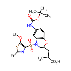 CCOc1sc(CC)nc1S(=O)(=O)N1CC(CC(C)C(=O)O)Oc2ccc(NC(=O)OC(C)(C)C(F)(F)F)cc21